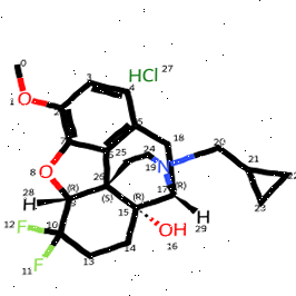 COc1ccc2c3c1O[C@H]1C(F)(F)CC[C@]4(O)[C@@H](C2)N(CC2CC2)CC[C@]314.Cl